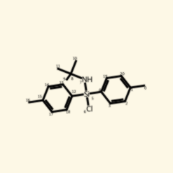 Cc1ccc([Si](Cl)(NC(C)(C)C)c2ccc(C)cc2)cc1